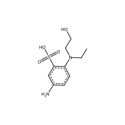 CCN(CCO)c1ccc(N)cc1S(=O)(=O)O